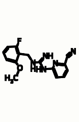 COc1cccc(F)c1CNC(=N)Nc1cccc(C#N)n1